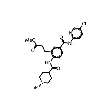 COC(=O)CCc1cc(C(=O)Nc2ccc(Cl)cn2)ccc1NC(=O)C1CCN(C(C)C)CC1